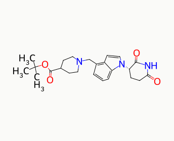 CC(C)(C)OC(=O)C1CCN(Cc2cccc3c2ccn3[C@H]2CCC(=O)NC2=O)CC1